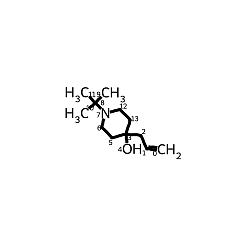 C=CCC1(O)CCN(C(C)(C)C)CC1